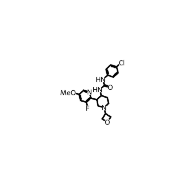 COc1cnc(C2CN(C3COC3)CCC2NC(=O)Nc2ccc(Cl)cc2)c(F)c1